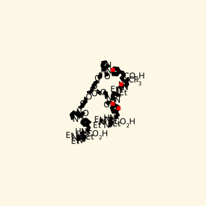 CCc1cnc(N(CC)CC)nc1N[C@@H](Cc1ccc(-n2c(=O)n(CCOCCOCC(COCCOCCn3c(=O)n(-c4ccc(C[C@H](Cc5nc(N(CC)CC)ncc5CC(F)(F)F)C(=O)O)cc4)c4ncccc43)OCCOCCn3c(=O)n(-c4ccc(C[C@H](Nc5nc(N(CC)CC)ncc5CC)C(=O)O)cc4)c4ncccc43)c3cccnc32)cc1)C(=O)O